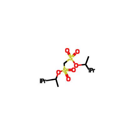 CC(C)C(C)OS(=O)(=O)CS(=O)(=O)OC(C)C(C)C